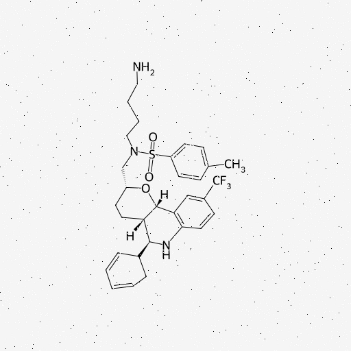 Cc1ccc(S(=O)(=O)N(CCCCN)C[C@H]2CC[C@@H]3[C@H](O2)c2cc(C(F)(F)F)ccc2N[C@H]3C2C=CC=CC2)cc1